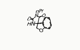 CCCN1C(=O)NC2(COc3ccccc32)C1=O